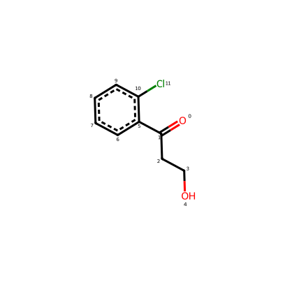 O=C(CCO)c1ccccc1Cl